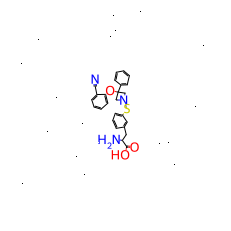 N#Cc1ccccc1OC1(c2ccccc2)CN(Sc2cccc(CC(N)C(=O)O)c2)C1